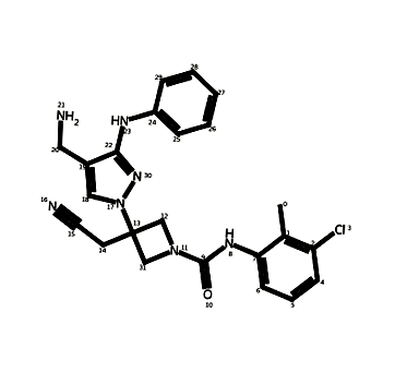 Cc1c(Cl)cccc1NC(=O)N1CC(CC#N)(n2cc(CN)c(Nc3ccccc3)n2)C1